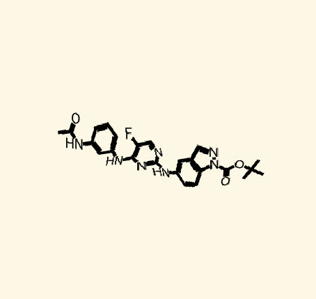 CC(=O)Nc1cccc(Nc2nc(Nc3ccc4c(cnn4C(=O)OC(C)(C)C)c3)ncc2F)c1